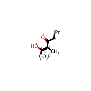 C/C(C(=O)CC(C)C)=C(/O)C(=O)O